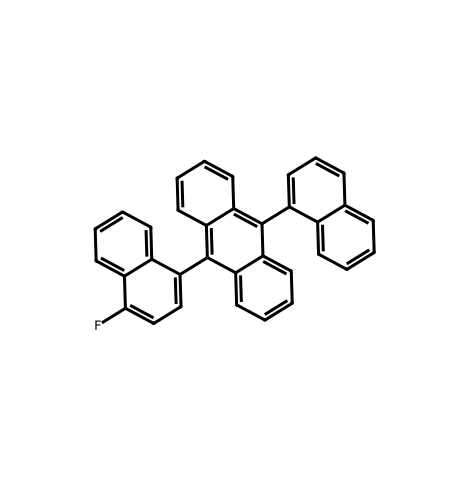 Fc1ccc(-c2c3ccccc3c(-c3cccc4ccccc34)c3ccccc23)c2ccccc12